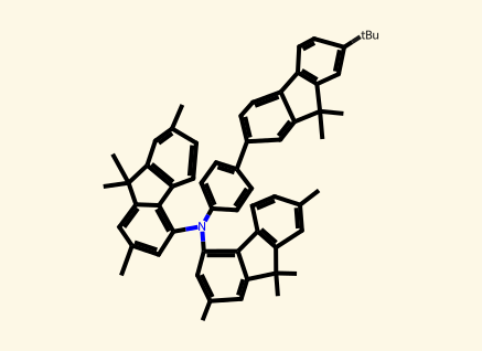 Cc1ccc2c(c1)C(C)(C)c1cc(C)cc(N(c3ccc(-c4ccc5c(c4)C(C)(C)c4cc(C(C)(C)C)ccc4-5)cc3)c3cc(C)cc4c3-c3ccc(C)cc3C4(C)C)c1-2